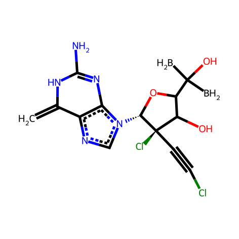 BC(B)(O)C1O[C@@H](n2cnc3c2N=C(N)NC3=C)[C@@](Cl)(C#CCl)C1O